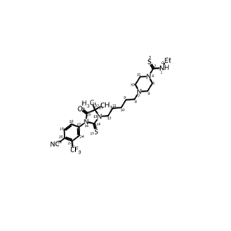 CCNC(=S)N1CCN(CCCCCN2C(=S)N(c3ccc(C#N)c(C(F)(F)F)c3)C(=O)C2(C)C)CC1